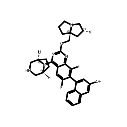 Oc1cc(-c2c(F)cc3c(N4[C@@H]5CC[C@H]4CNC5)nc(OC[C@@]45CCCN4C[C@H](F)C5)nc3c2F)c2ccccc2c1